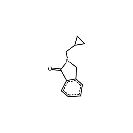 O=C1c2ccccc2CN1CC1CC1